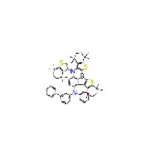 CC1(C)CCC(C)(C)c2c(N3c4ccc(N(c5ccccc5)c5cccc(-c6ccccc6)c5)c5c4B(c4sc6c(c4-5)C(C)(C)CCC6(C)C)c4sc5c(c43)C(C)(C)CCC5(C)C)csc21